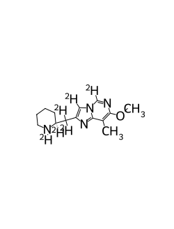 [2H]c1nc(OC)c(C)c2nc(C([2H])([2H])[C@]3([2H])CCCCN3[2H])c([2H])n12